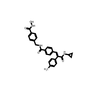 Cc1ccc(/C(=C\c2ccc(C(=O)NCc3ccc(C(=O)NO)cc3)cc2)C(=O)NC2CC2)cc1